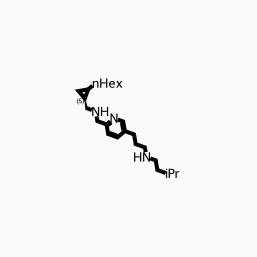 CCCCCCC1C[C@@H]1CNCc1ccc(CCCNCCC(C)C)cn1